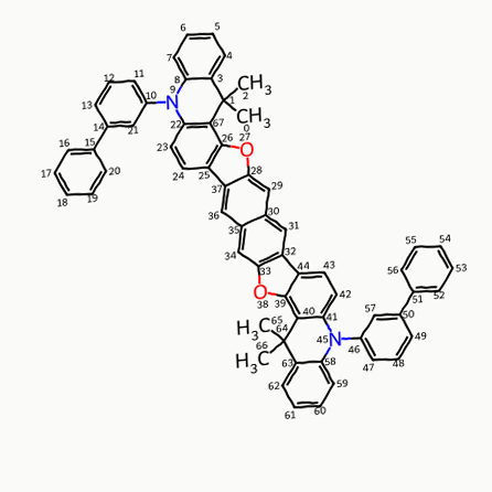 CC1(C)c2ccccc2N(c2cccc(-c3ccccc3)c2)c2ccc3c(oc4cc5cc6c(cc5cc43)oc3c4c(ccc36)N(c3cccc(-c5ccccc5)c3)c3ccccc3C4(C)C)c21